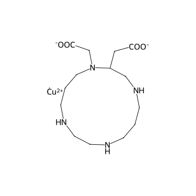 O=C([O-])CC1CNCCCNCCNCCCN1CC(=O)[O-].[Cu+2]